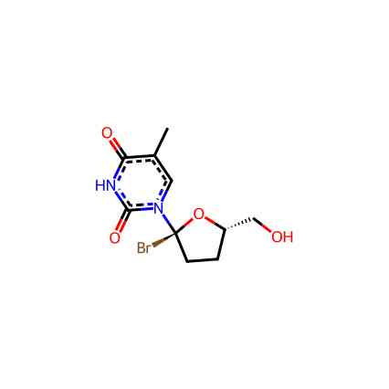 Cc1cn([C@@]2(Br)CC[C@@H](CO)O2)c(=O)[nH]c1=O